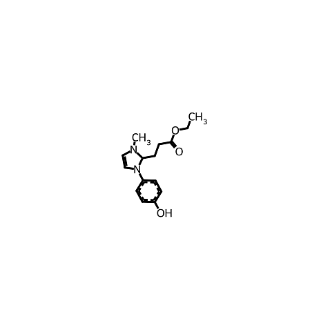 CCOC(=O)CCC1N(C)C=CN1c1ccc(O)cc1